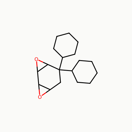 C1CCC(C2(C3CCCCC3)CC3OC3C3OC32)CC1